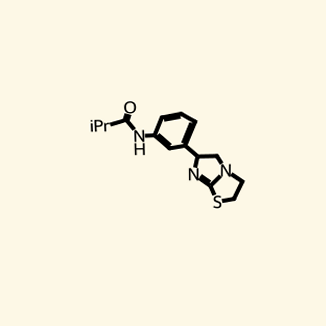 CC(C)C(=O)Nc1cccc(C2CN3CCSC3=N2)c1